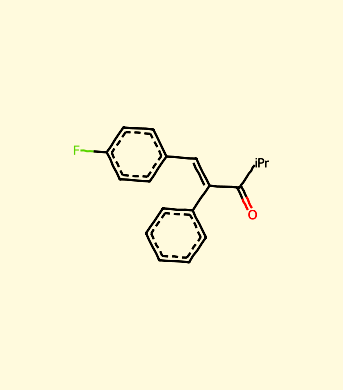 CC(C)C(=O)/C(=C/c1ccc(F)cc1)c1ccccc1